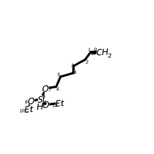 C=CCCCCCO[SiH](OCC)OCC